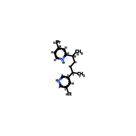 CCc1cncc(C(C)CCC(C)c2cc(C(C)C)ccn2)c1